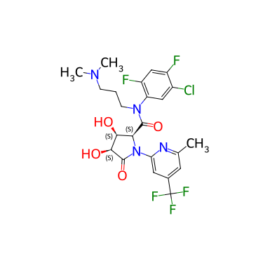 Cc1cc(C(F)(F)F)cc(N2C(=O)[C@@H](O)[C@@H](O)[C@H]2C(=O)N(CCCN(C)C)c2cc(Cl)c(F)cc2F)n1